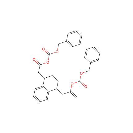 C=C(CC1CCC(CC(=O)OC(=O)OCc2ccccc2)c2ccccc21)OC(=O)OCc1ccccc1